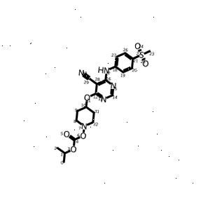 CC(C)OC(=O)ON1CCC(Oc2ncnc(Nc3ccc(S(C)(=O)=O)cc3)c2C#N)CC1